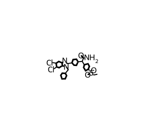 CCS(=O)(=O)c1ccc(C(C(N)=O)c2ccc(-c3nc4cc(Cl)c(Cl)cc4n3Cc3ccccc3)cc2)cc1